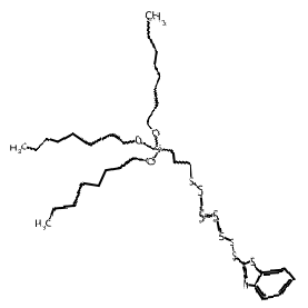 CCCCCCCCO[Si](CCCSSSSSSSc1nc2ccccc2s1)(OCCCCCCCC)OCCCCCCCC